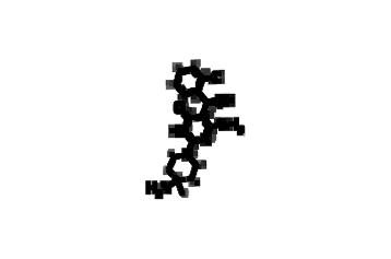 CC1(N)CCN(c2nc(N)c(C(=N)c3ccccc3Cl)c(=O)[nH]2)CC1